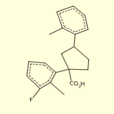 Cc1ccccc1C1CCC(C(=O)O)(c2cccc(F)c2C)C1